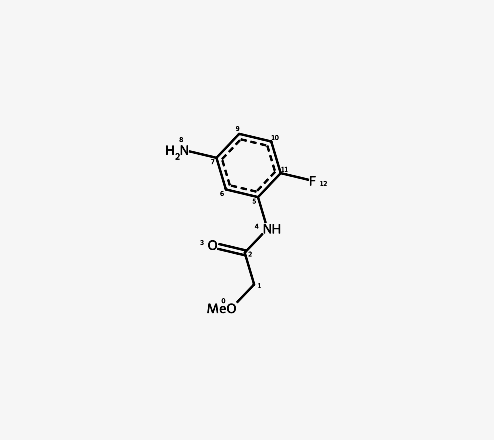 COCC(=O)Nc1cc(N)ccc1F